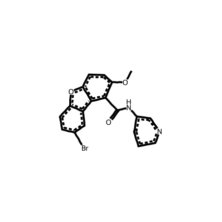 COc1ccc2oc3ccc(Br)cc3c2c1C(=O)Nc1cccnc1